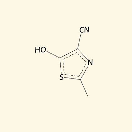 Cc1nc(C#N)c(O)s1